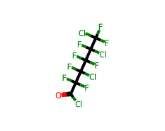 O=C(Cl)C(F)(F)C(F)(Cl)C(F)(F)C(F)(Cl)C(F)(F)Cl